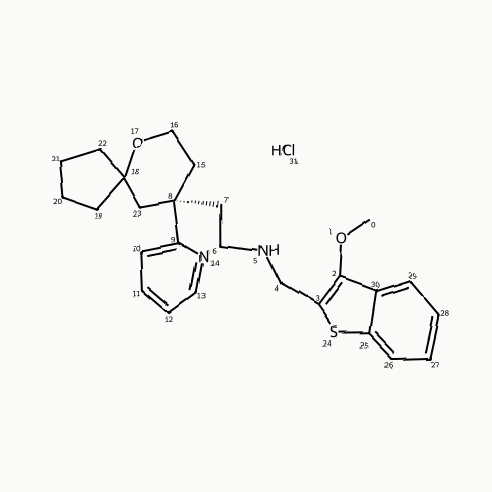 COc1c(CNCC[C@@]2(c3ccccn3)CCOC3(CCCC3)C2)sc2ccccc12.Cl